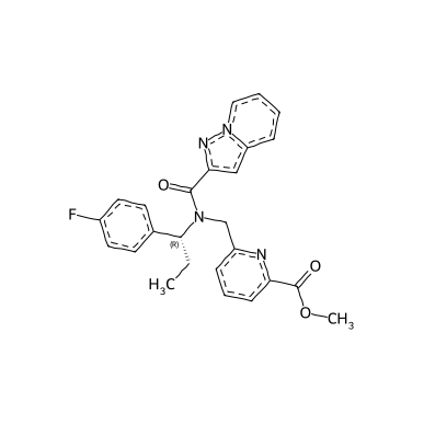 CC[C@H](c1ccc(F)cc1)N(Cc1cccc(C(=O)OC)n1)C(=O)c1cc2ccccn2n1